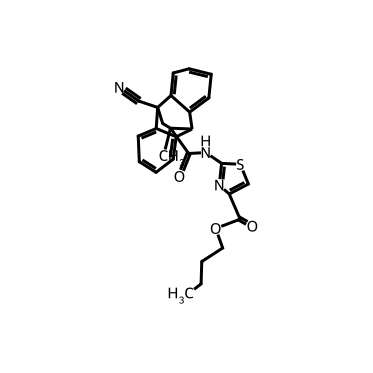 CCCCOC(=O)c1csc(NC(=O)C2(C)CC3(C#N)c4ccccc4C2c2ccccc23)n1